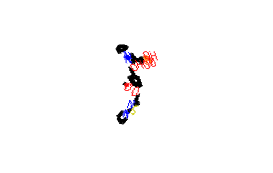 COc1cc(COc2nn(-c3ccccc3)cc2C=CP(=O)(O)O)ccc1OCc1csc(N2CCCCC2)n1